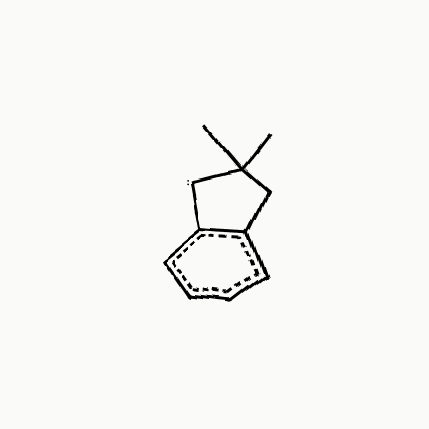 CC1(C)[C]c2ccccc2C1